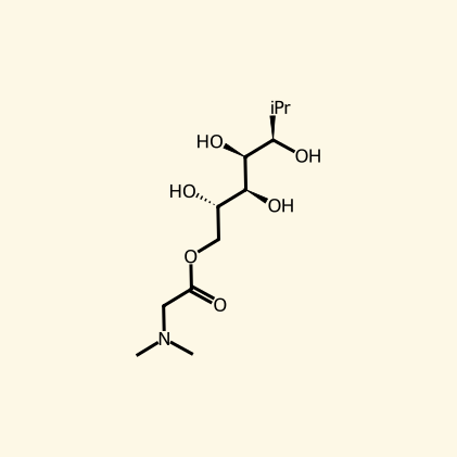 CC(C)[C@@H](O)[C@H](O)[C@@H](O)[C@@H](O)COC(=O)CN(C)C